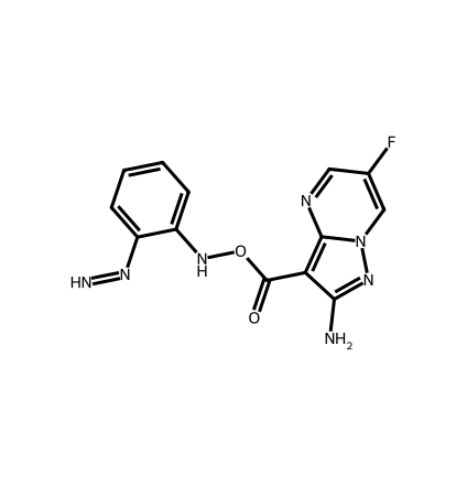 N=Nc1ccccc1NOC(=O)c1c(N)nn2cc(F)cnc12